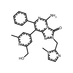 Cc1cc(-c2c(-c3ccccc3)nc(N)n3c(=O)n(Cc4nccn4C)nc23)cc(CO)n1